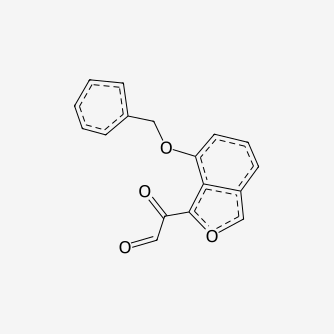 O=CC(=O)c1occ2cccc(OCc3ccccc3)c12